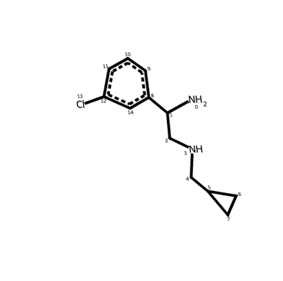 NC(CNCC1CC1)c1cccc(Cl)c1